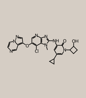 Cn1c(Nc2cc(C3CC3)cn(C3CCC3O)c2=O)nc2ncc(Oc3cnn4ccncc34)c(Cl)c21